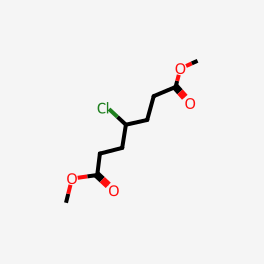 COC(=O)CCC(Cl)CCC(=O)OC